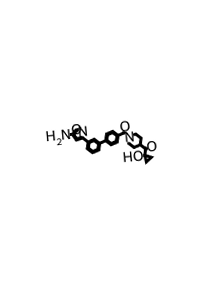 Nc1cc(-c2cccc(-c3ccc(C(=O)N4CCC(C(=O)C5(O)CC5)CC4)cc3)c2)no1